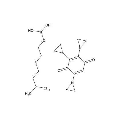 CC(C)CCSCCOB(O)O.O=C1C=C(N2CC2)C(=O)C(N2CC2)=C1N1CC1